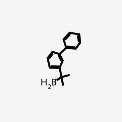 BC(C)(C)c1cccc(-c2ccccc2)c1